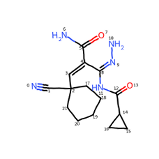 N#CC1(/C=C(C(N)=O)\C(=N/N)NC(=O)C2CC2)CCCCC1